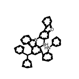 B1c2cc3oc4ccccc4c3cc2-n2c3ccccc3c3c(C(c4ccccc4)c4ccccc4)cc(-c4ccccc4Nc4ccccc4)c1c32